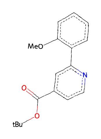 COc1ccccc1-c1cc(C(=O)OC(C)(C)C)ccn1